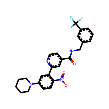 O=C(NCc1cccc(C(F)(F)F)c1)c1ccnc(-c2cc(N3CCCCC3)ccc2[N+](=O)[O-])c1